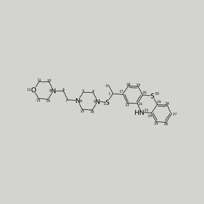 CC(SN1CCN(CCN2CCOCC2)CC1)c1ccc2c(c1)Nc1ccccc1S2